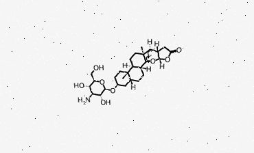 C[C@]12CC[C@H](O[C@@H]3O[C@H](CO)[C@@H](O)[C@H](N)[C@H]3O)C[C@H]1CC[C@@H]1[C@@H]2CC[C@]2(C)[C@@H]3CC[C@]12O[C@H]1OC(=O)C[C@H]13